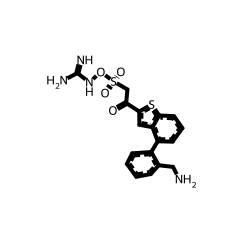 N=C(N)NOS(=O)(=O)CC(=O)c1cc2c(-c3ccccc3CN)cccc2s1